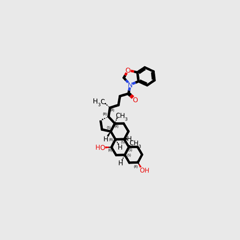 C[C@H](CCC(=O)N1COc2ccccc21)[C@H]1CC[C@H]2[C@@H]3[C@H](O)C[C@@H]4C[C@H](O)CC[C@]4(C)[C@H]3CC[C@]12C